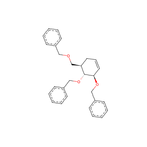 C1=C[C@@H](OCc2ccccc2)[C@H](OCc2ccccc2)[C@@H](COCc2ccccc2)C1